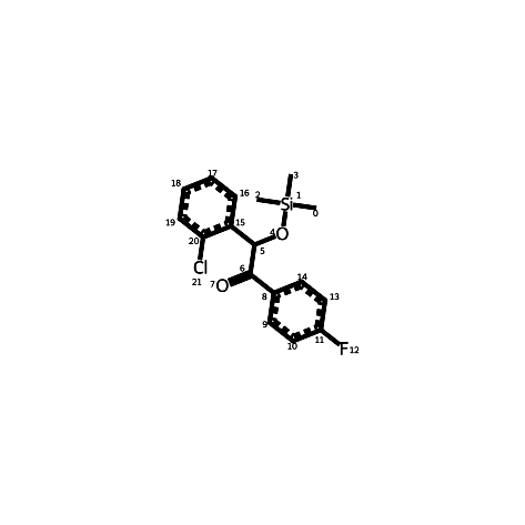 C[Si](C)(C)OC(C(=O)c1ccc(F)cc1)c1ccccc1Cl